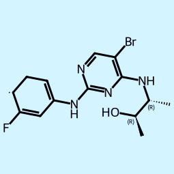 C[C@@H](O)[C@@H](C)Nc1nc(NC2=CC[CH]C(F)=C2)ncc1Br